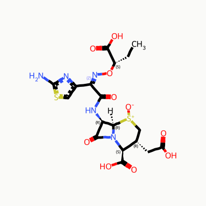 CC[C@H](O/N=C(\C(=O)N[C@@H]1C(=O)N2[C@H](C(=O)O)[C@@H](CC(=O)O)C[S+]([O-])[C@H]12)c1csc(N)n1)C(=O)O